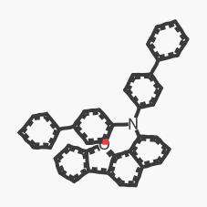 c1ccc(-c2ccc(N(c3ccc(-c4ccccc4)cc3)c3cccc4ccc5c6ccccc6oc5c34)cc2)cc1